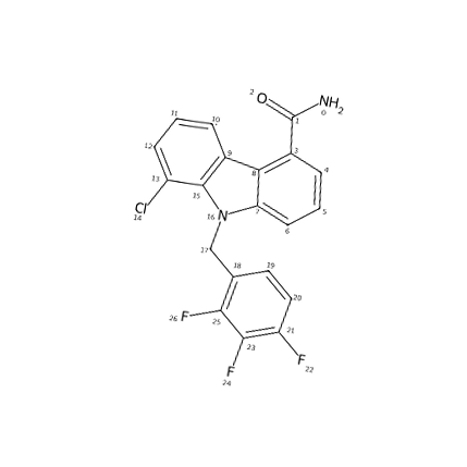 NC(=O)c1cccc2c1c1[c]ccc(Cl)c1n2Cc1ccc(F)c(F)c1F